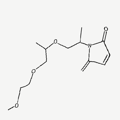 C=C1C=CC(=O)N1C(C)COC(C)COCCOC